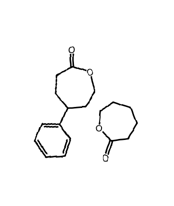 O=C1CCC(c2ccccc2)CCO1.O=C1CCCCCO1